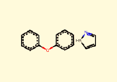 B1C=CC=N1.c1ccc(Oc2ccccc2)cc1